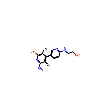 [C-]#[N+]c1c(N)nc(S)c(C#N)c1-c1ccc(NCCO)nc1